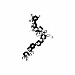 C[C@@H]1CN(CC2CCN(c3ccc4c(c3)C(=O)N(C3CCC(=O)NC3=O)C4)CC2)C[C@@H](C)N1C(=O)N1CCN2c3cc(-c4cc(F)cc(F)c4O)nnc3NCC2(C)C1